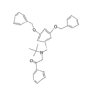 CC(C)(C)N(CC(=O)c1ccccc1)Cc1cc(OCc2ccccc2)cc(OCc2ccccc2)c1